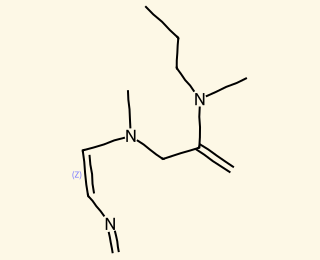 C=N/C=C\N(C)CC(=C)N(C)CCC